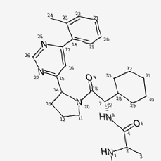 CNC(C)C(=O)N[C@H](C(=O)N1CCCC1c1cc(-c2ccccc2C)ncn1)C1CCCCC1